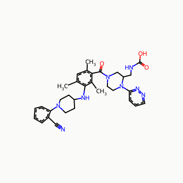 Cc1cc(C)c(C(=O)N2CCN(c3cccnn3)C(CNC(=O)O)C2)c(C)c1NC1CCN(c2ccccc2C#N)CC1